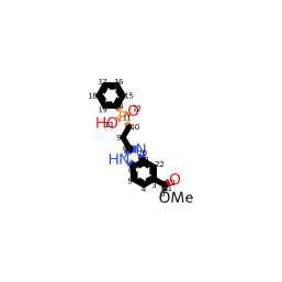 COC(=O)c1ccc2[nH]c(CCP(=O)(O)c3ccccc3)nc2c1